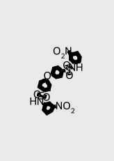 O=[N+]([O-])c1cccc(NS(=O)(=O)c2ccc(Oc3ccc(S(=O)(=O)Nc4cccc([N+](=O)[O-])c4)cc3)cc2)c1